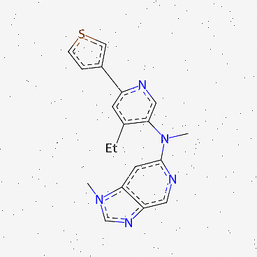 CCc1cc(-c2ccsc2)ncc1N(C)c1cc2c(cn1)ncn2C